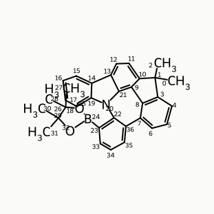 CC1(C)c2cccc3c2-c2c1ccc1c4ccccc4n(c21)-c1c(B2OC(C)(C)C(C)(C)O2)cccc1-3